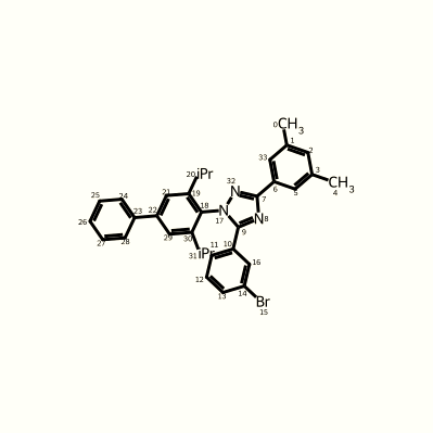 Cc1cc(C)cc(-c2nc(-c3cccc(Br)c3)n(-c3c(C(C)C)cc(-c4ccccc4)cc3C(C)C)n2)c1